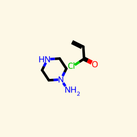 C=CC(=O)Cl.NN1CCNCC1